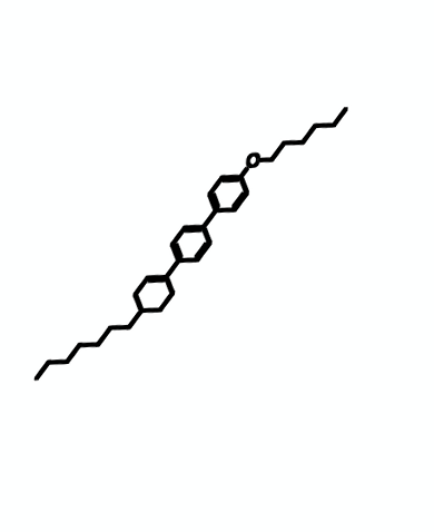 CCCCCCCC1CC=C(c2ccc(-c3ccc(OCCCCCC)cc3)cc2)CC1